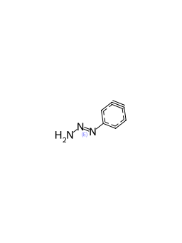 N/N=N/c1cc#ccc1